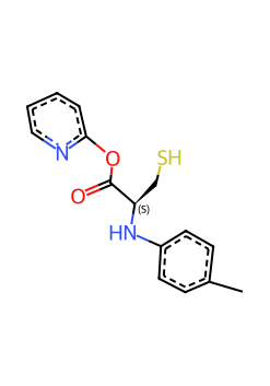 Cc1ccc(N[C@H](CS)C(=O)Oc2ccccn2)cc1